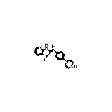 COc1cccnc1NC(=O)Nc1ccc(N2CCNCC2)cc1